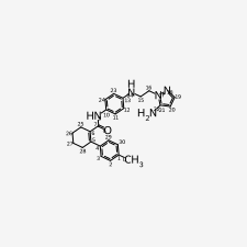 Cc1ccc(C2=C(C(=O)Nc3ccc(NCCn4nccc4N)cc3)CCCC2)cc1